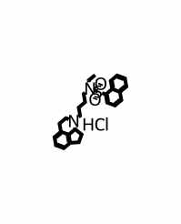 CCN(CCCCN1CCc2cccc3c2C1CC3)S(=O)(=O)c1cccc2ccccc12.Cl